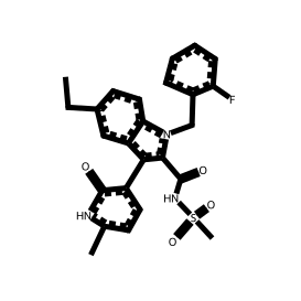 CCc1ccc2c(c1)c(-c1ccc(C)[nH]c1=O)c(C(=O)NS(C)(=O)=O)n2Cc1ccccc1F